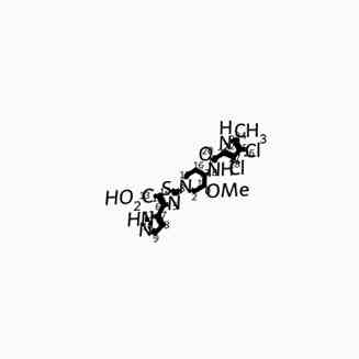 CO[C@H]1CN(c2nc(-c3ccn[nH]3)c(C(=O)O)s2)CC[C@H]1NC(=O)c1[nH]c(C)c(Cl)c1Cl